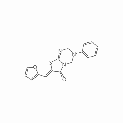 O=c1c(=Cc2ccco2)sc2n1CN(c1ccccc1)CN=2